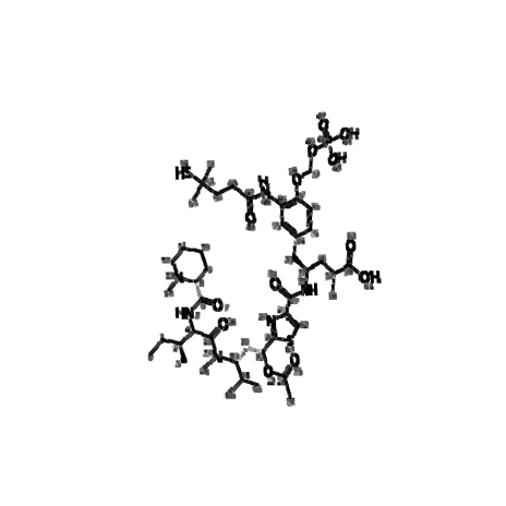 CC[C@H](C)C(NC(=O)[C@H]1CCCCN1C)C(=O)N(C)[C@H](C[C@@H](OC(C)=O)c1nc(C(=O)N[C@@H](Cc2ccc(OCOP(=O)(O)O)c(NC(=O)CCC(C)(C)S)c2)CC(C)C(=O)O)cs1)C(C)C